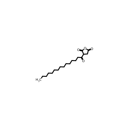 CCCCCCCCCCCCCCC(=O)C1CC(=O)OC1=O